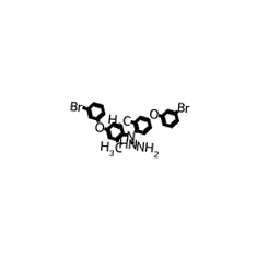 Cc1cc(Oc2cccc(Br)c2)ccc1N(NN)c1ccc(Oc2cccc(Br)c2)cc1C